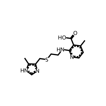 Cc1ccnc(NCCSCc2nc[nH]c2C)c1C(=O)O